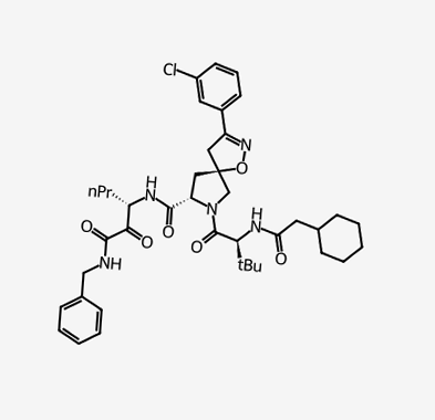 CCC[C@H](NC(=O)[C@@H]1C[C@]2(CC(c3cccc(Cl)c3)=NO2)CN1C(=O)[C@@H](NC(=O)CC1CCCCC1)C(C)(C)C)C(=O)C(=O)NCc1ccccc1